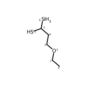 CCOCCC([SiH3])S